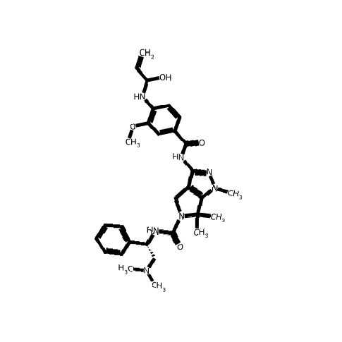 C=CC(O)Nc1ccc(C(=O)Nc2nn(C)c3c2CN(C(=O)N[C@H](CN(C)C)c2ccccc2)C3(C)C)cc1OC